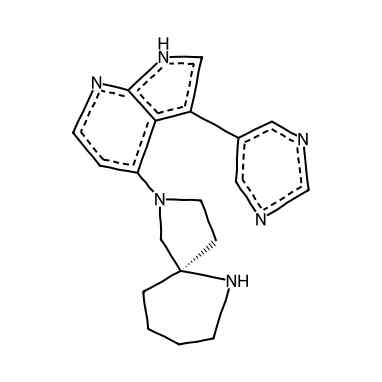 c1ncc(-c2c[nH]c3nccc(N4CC[C@]5(CCCCN5)C4)c23)cn1